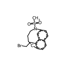 CS(=O)(=O)N1CCCCc2ccc3ccc1cc3c2CCBr